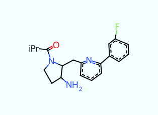 CC(C)C(=O)N1CCC(N)C1Cc1cccc(-c2cccc(F)c2)n1